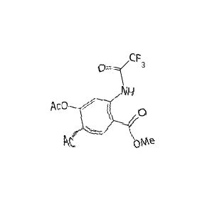 COC(=O)c1cc(C(C)=O)c(OC(C)=O)cc1NC(=O)C(F)(F)F